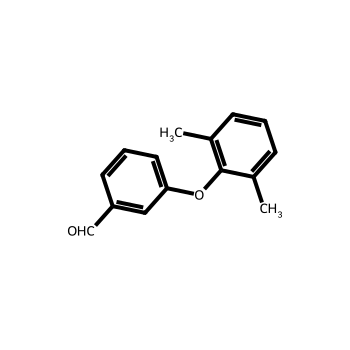 Cc1cccc(C)c1Oc1cccc(C=O)c1